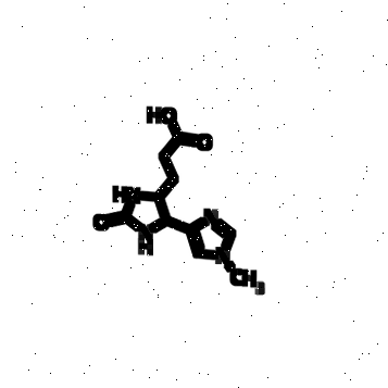 Cn1cnc(C2NC(=O)NC2CCC(=O)O)c1